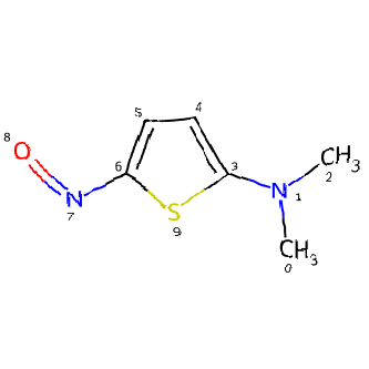 CN(C)c1ccc(N=O)s1